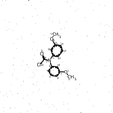 COc1cccc(N(C(=O)Cl)c2cccc(OC)c2)c1